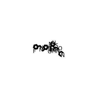 CN1CCC(NC(=O)c2sc3ncnc4c3c2NC(=O)N4c2ccc3c(cnn3Cc3cccc(F)c3)c2)CC1